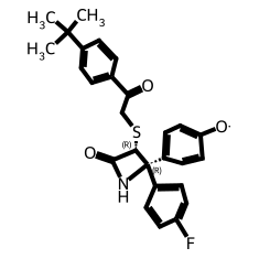 CC(C)(C)c1ccc(C(=O)CS[C@H]2C(=O)N[C@]2(c2ccc([O])cc2)c2ccc(F)cc2)cc1